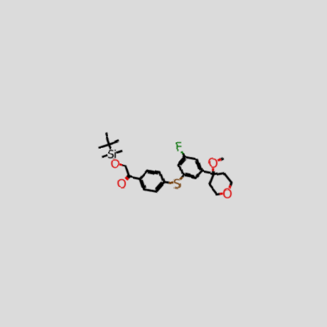 COC1(c2cc(F)cc(Sc3ccc(C(=O)CO[Si](C)(C)C(C)(C)C)cc3)c2)CCOCC1